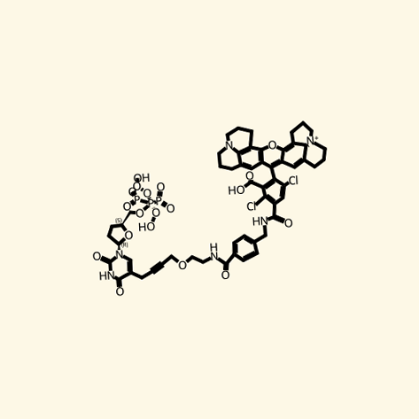 O=C(NCCOCC#CCc1cn([C@H]2CC[C@@H](COP(OO)(OOO)(P(=O)=O)P(=O)=O)O2)c(=O)[nH]c1=O)c1ccc(CNC(=O)c2cc(Cl)c(C3=c4cc5c6c(c4Oc4c3cc3c7c4CCCN7CCC3)CCC[N+]=6CCC5)c(C(=O)O)c2Cl)cc1